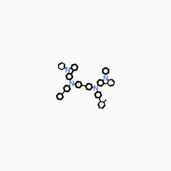 CC1C=CC=CC1c1ccc(N(c2ccc(-c3ccc(N(c4ccc(-c5ccccc5)cc4)c4ccc5c(c4)c4ccccc4n5C4=CC=CCC4)cc3)cc2)c2ccc3c(c2)C2C=CC=CC2N3c2ccccc2)cc1